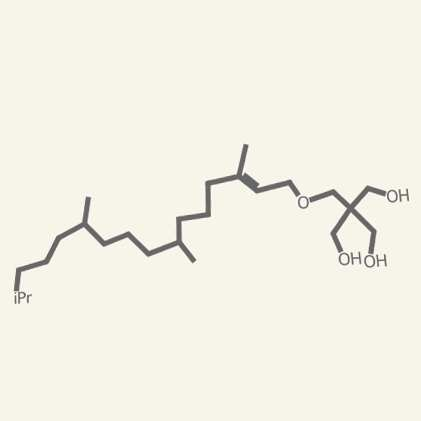 CC(=CCOCC(CO)(CO)CO)CCCC(C)CCCC(C)CCCC(C)C